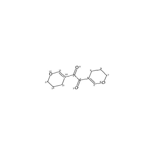 O=C(C(=O)C1=COCCC1)C1=COCCC1